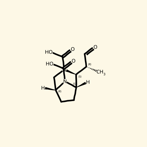 C[C@@H](C=O)[C@H]1[C@@H]2CC[C@H](CN1C(=O)O)N2C(=O)O